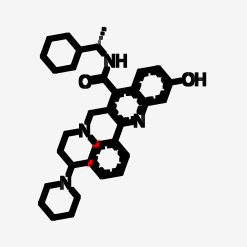 C[C@H](NC(=O)c1c(CN2CCC(N3CCCCC3)CC2)c(-c2ccccc2)nc2cc(O)ccc12)C1CCCCC1